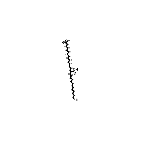 CCCCCCCCCCCCCCC(CCCCCCCCCCCCCCC(=O)O)C(=O)O